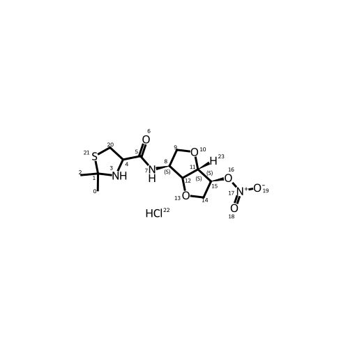 CC1(C)NC(C(=O)N[C@H]2CO[C@H]3C2OC[C@@H]3O[N+](=O)[O-])CS1.Cl